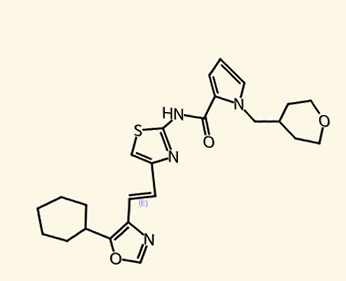 O=C(Nc1nc(/C=C/c2ncoc2C2CCCCC2)cs1)c1cccn1CC1CCOCC1